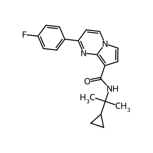 CC(C)(NC(=O)c1ccn2ccc(-c3ccc(F)cc3)nc12)C1CC1